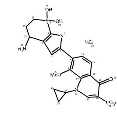 COc1c(-c2cc3c(s2)S(O)(O)CCC3N)ccc2c(=O)c(C(=O)O)cn(C3CC3)c12.Cl